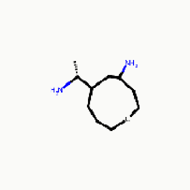 C[C@@H](N)C1CCCCCCC(N)C1